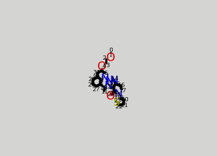 COCCOc1cnc2c(C(C)n3nnc4ccn(-c5cccs5)c(=O)c43)cccc2c1